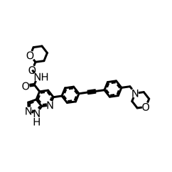 O=C(NOC1CCCCO1)c1cc(-c2ccc(C#Cc3ccc(CN4CCOCC4)cc3)cc2)nc2[nH]ncc12